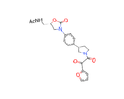 CC(=O)NC[C@H]1CN(c2ccc(C3CCN(C(=O)C(=O)c4ccco4)C3)cc2)C(=O)O1